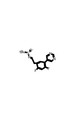 CC(C)(C)[S+]([O-])N=CCc1cc(-c2cncnc2)c(F)cc1F